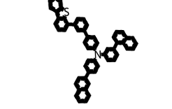 c1cc(-c2ccc(N(c3ccc(-c4ccc5ccccc5c4)cc3)c3cccc(-c4cccc5ccccc45)c3)cc2)cc(-c2cccc3c2sc2ccccc23)c1